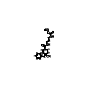 CC(C)(C)OC(=O)NCCCNC(=O)N1CCC(C#N)(Cc2ccccc2)CC1